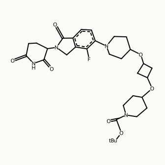 CC(C)(C)OC(=O)N1CCC(OC2CC(OC3CCN(c4ccc5c(c4F)CN(C4CCC(=O)NC4=O)C5=O)CC3)C2)CC1